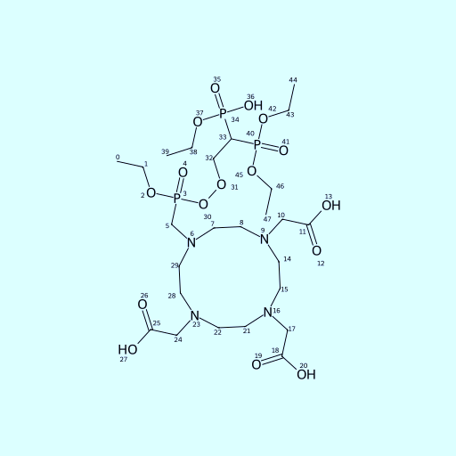 CCOP(=O)(CN1CCN(CC(=O)O)CCN(CC(=O)O)CCN(CC(=O)O)CC1)OOCC(P(=O)(O)OCC)P(=O)(OCC)OCC